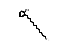 NCCCCCCCCCCCCCc1ccccc1O